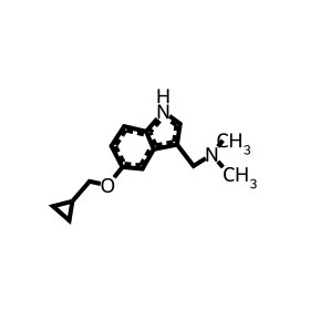 CN(C)Cc1c[nH]c2ccc(OCC3CC3)cc12